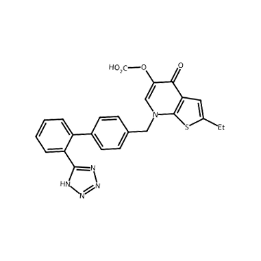 CCc1cc2c(=O)c(OC(=O)O)cn(Cc3ccc(-c4ccccc4-c4nnn[nH]4)cc3)c2s1